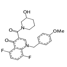 COc1ccc(Cn2cc(C(=O)N3CCCC(O)C3)c(=O)c3c(F)ccc(F)c32)cc1